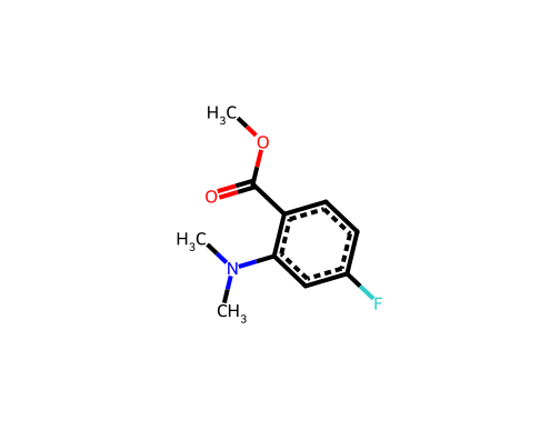 COC(=O)c1ccc(F)cc1N(C)C